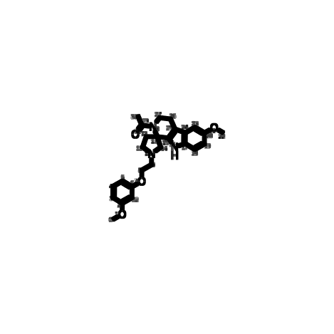 COc1cccc(OCCN2CCC3(C2)c2[nH]c4ccc(OC)cc4c2CCN3C(C)=O)c1